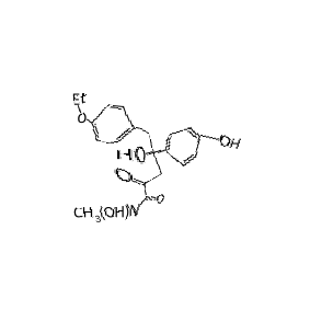 CCOc1ccc(CC(O)(CC(=O)C(=O)N(C)O)c2ccc(O)cc2)cc1